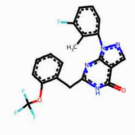 Cc1c(F)cccc1-n1ncc2c(=O)[nH]c(Cc3ccccc3OC(F)(F)F)nc21